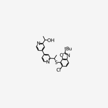 CC(O)c1cc(-c2ccnc(C(C)Sc3c(Cl)ccc4nc(C(C)(C)C)oc34)c2)ccn1